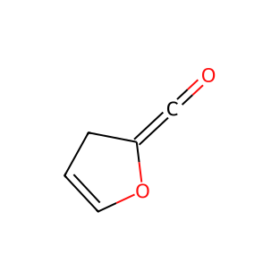 O=C=C1CC=CO1